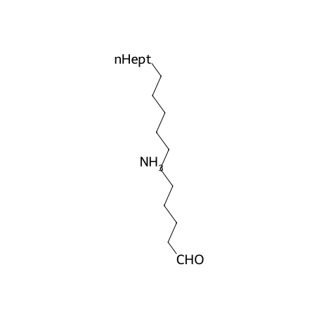 CCCCCCCCCCCCCCCCCC=O.N